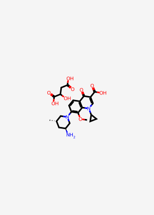 COc1c(N2C[C@@H](C)C[C@H](N)C2)ccc2c(=O)c(C(=O)O)cn(C3CC3)c12.O=C(O)CC(O)C(=O)O